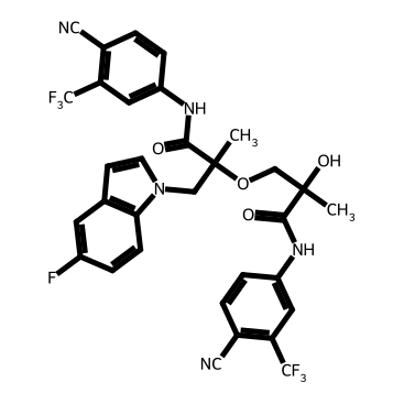 CC(O)(COC(C)(Cn1ccc2cc(F)ccc21)C(=O)Nc1ccc(C#N)c(C(F)(F)F)c1)C(=O)Nc1ccc(C#N)c(C(F)(F)F)c1